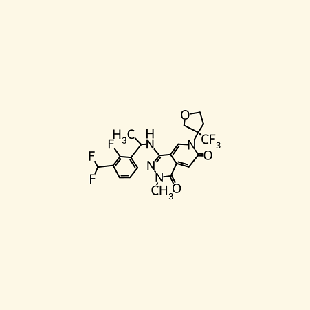 CC(Nc1nn(C)c(=O)c2cc(=O)n([C@@]3(C(F)(F)F)CCOC3)cc12)c1cccc(C(F)F)c1F